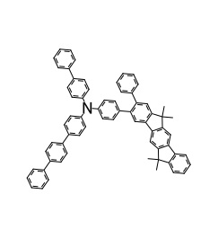 CC1(C)c2ccccc2-c2cc3c(cc21)-c1cc(-c2ccc(N(c4ccc(-c5ccccc5)cc4)c4ccc(-c5ccc(-c6ccccc6)cc5)cc4)cc2)c(-c2ccccc2)cc1C3(C)C